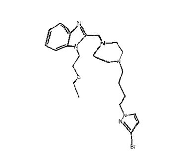 CCOCCn1c(CN2CCN(CCCCn3ccc(Br)n3)CC2)nc2ccccc21